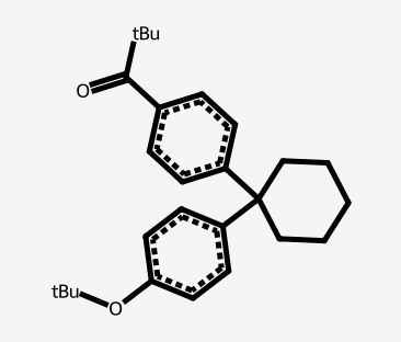 CC(C)(C)Oc1ccc(C2(c3ccc(C(=O)C(C)(C)C)cc3)CCCCC2)cc1